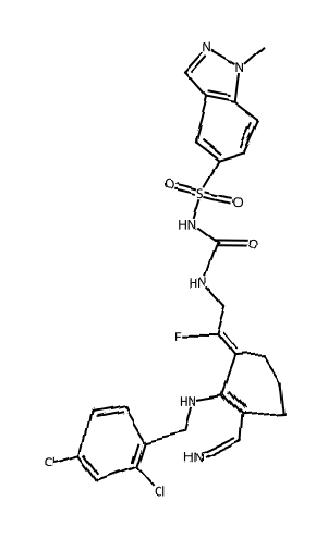 Cn1ncc2cc(S(=O)(=O)NC(=O)NC/C(F)=C3\CCCC(C=N)=C3NCc3ccc(Cl)cc3Cl)ccc21